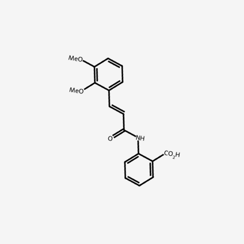 COc1cccc(/C=C/C(=O)Nc2ccccc2C(=O)O)c1OC